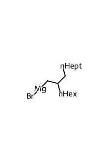 CCCCCCCCC(CCCCCC)[CH2][Mg][Br]